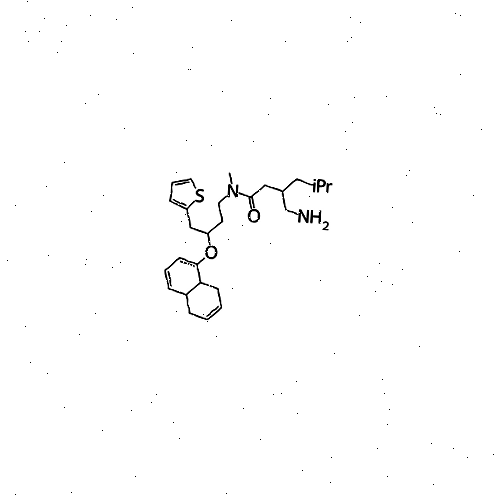 CC(C)CC(CN)CC(=O)N(C)CCC(Cc1cccs1)OC1=CC=CC2CC=CCC12